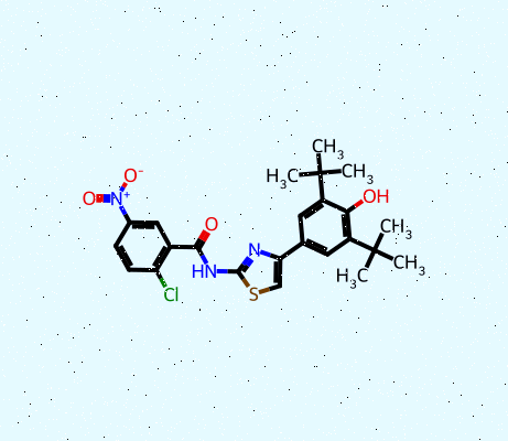 CC(C)(C)c1cc(-c2csc(NC(=O)c3cc([N+](=O)[O-])ccc3Cl)n2)cc(C(C)(C)C)c1O